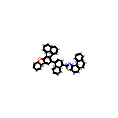 C1=CC2Oc3c(cc(-c4ccc(-c5nc6c(ccc7ccc8ccccc8c76)s5)c5ccccc45)c4c3-c3cccc5cccc-4c35)C2C=C1